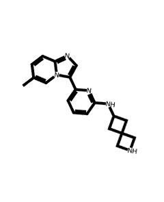 Cc1ccc2ncc(-c3cccc(NC4CC5(CNC5)C4)n3)n2c1